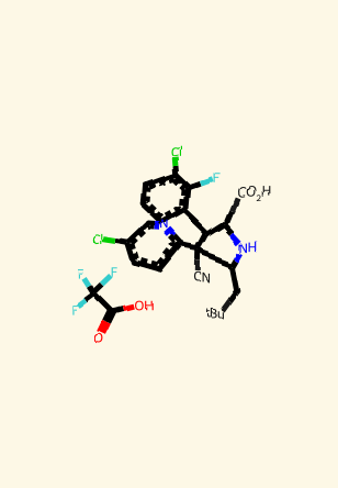 CC(C)(C)CC1NC(C(=O)O)C(c2cccc(Cl)c2F)C1(C#N)c1ccc(Cl)cn1.O=C(O)C(F)(F)F